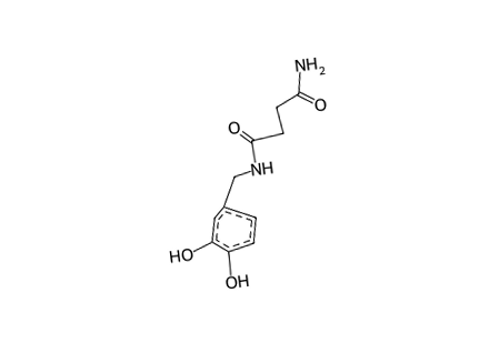 NC(=O)CCC(=O)NCc1ccc(O)c(O)c1